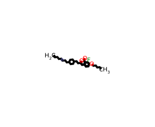 C=CCC/C=C/CCC1CCC(CCc2cc3ccc(OCCCCC)c(F)c3c(=O)o2)CC1